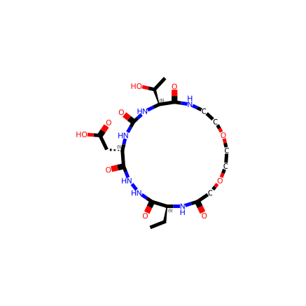 CC[C@@H]1NC(=O)COCCOCCNC(=O)[C@H](C(C)O)NC(=O)N[C@@H](CC(=O)O)C(=O)NNC1=O